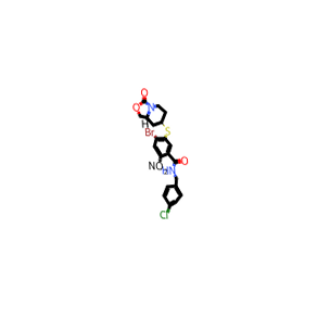 O=C(NCc1ccc(Cl)cc1)c1cc(S[C@H]2CCN3C(=O)OC[C@@H]3C2)c(Br)cc1[N+](=O)[O-]